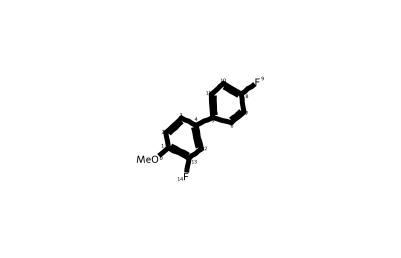 COc1ccc(-c2ccc(F)cc2)cc1F